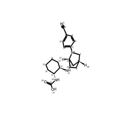 N#Cc1ccc(N2C[C@@H]3C[C@H](N[C@@H]4CCCC[C@H]4NC(=O)O)[C@H]2C3)cc1